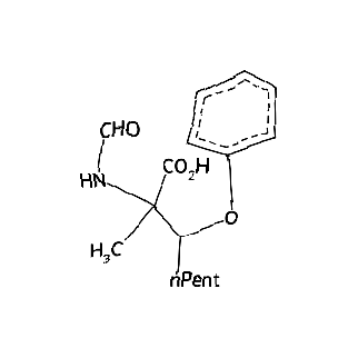 CCCCCC(Oc1ccccc1)C(C)(NC=O)C(=O)O